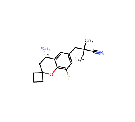 CC(C)(C#N)Cc1cc(F)c2c(c1)[C@@H](N)CC1(CCC1)O2